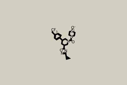 O=C(N1CC[S+]([O-])CC1)N1CC(c2ccc(CC(F)(F)F)cc2)CC(c2nc(C3CC3)no2)C1